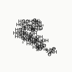 CC(=O)NC1C(O[C@@H]2OC(CO[C@@H]3OC(CO[C@@]4(C(=O)O)CC(O)[C@@H](NC(C)=O)C([C@@H](NC(C)=O)[C@H](C)O)O4)[C@@H](O)C(O)C3O)[C@H](O)C(O)C2O)[C@@H](O)C(CO)O[C@H]1OC1C(O)[C@H](OC2C(NC(C)=O)[C@H](NC(=O)CCSC3CC(=O)NC3=O)OC(CO)[C@@H]2O)OC(CO)[C@@H]1O